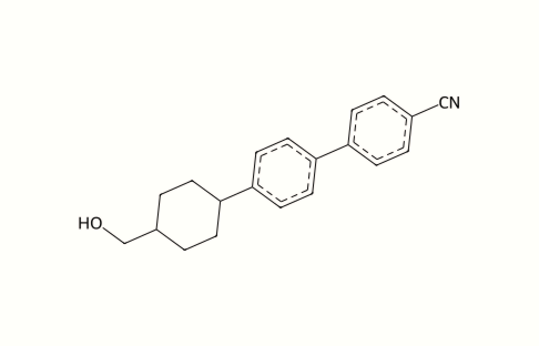 N#Cc1ccc(-c2ccc(C3CCC(CO)CC3)cc2)cc1